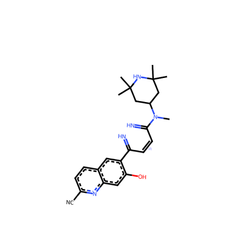 CN(C(=N)/C=C\C(=N)c1cc2ccc(C#N)nc2cc1O)C1CC(C)(C)NC(C)(C)C1